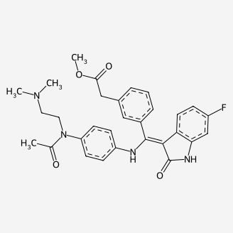 COC(=O)Cc1cccc(/C(Nc2ccc(N(CCN(C)C)C(C)=O)cc2)=C2/C(=O)Nc3cc(F)ccc32)c1